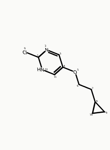 ClC1N=CC(OCCC2CC2)=CN1